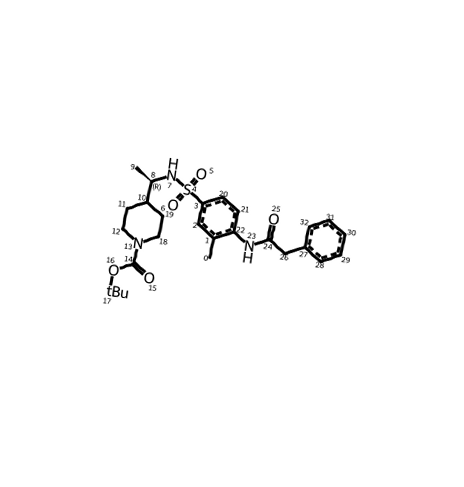 Cc1cc(S(=O)(=O)N[C@H](C)C2CCN(C(=O)OC(C)(C)C)CC2)ccc1NC(=O)Cc1ccccc1